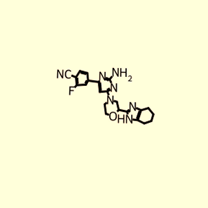 N#Cc1ccc(-c2cc(N3CCOC(c4nc5c([nH]4)CCCC5)C3)nc(N)n2)cc1F